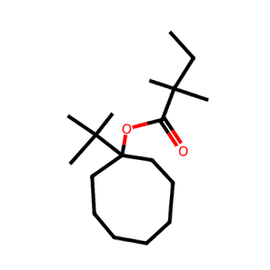 CCC(C)(C)C(=O)OC1(C(C)(C)C)CCCCCCC1